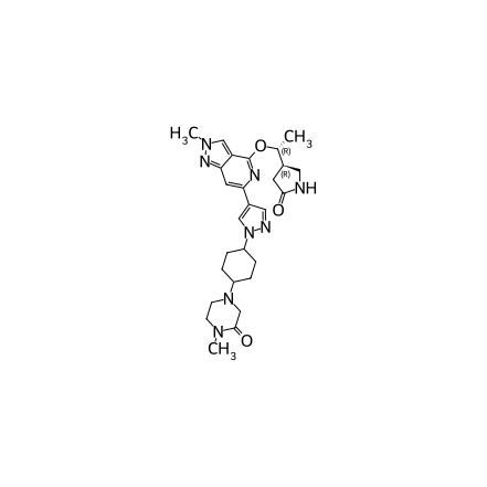 C[C@@H](Oc1nc(-c2cnn(C3CCC(N4CCN(C)C(=O)C4)CC3)c2)cc2nn(C)cc12)[C@H]1CNC(=O)C1